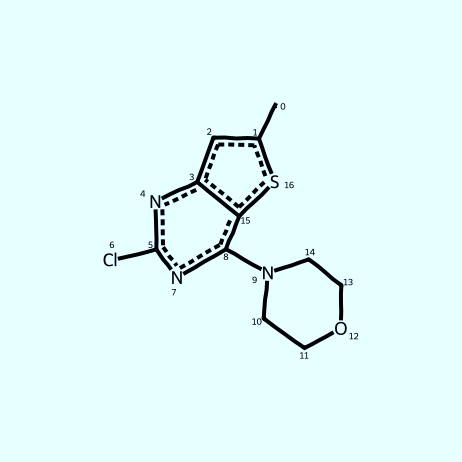 [CH2]c1cc2nc(Cl)nc(N3CCOCC3)c2s1